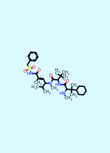 CNC(C(=O)NC(C(=O)N(C)C(/C=C(\C)C(=O)NS(=O)(=O)Cc1ccccc1)C(C)C)C(C)(C)C)C(C)(C)C1CCCCC1